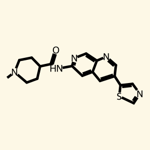 CN1CCC(C(=O)Nc2cc3cc(-c4cncs4)cnc3cn2)CC1